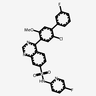 COc1cc(-c2cccc(F)c2)c(Cl)cc1-c1ncnc2cc(S(=O)(=O)Nc3ccc(F)cn3)ccc12